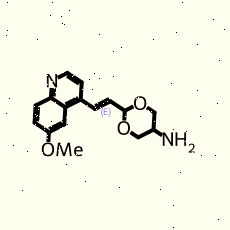 COc1ccc2nccc(/C=C/C3OCC(N)CO3)c2c1